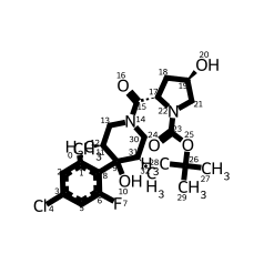 Cc1cc(Cl)cc(F)c1C1(O)[C@H](C)CN(C(=O)[C@@H]2C[C@@H](O)CN2C(=O)OC(C)(C)C)C[C@@H]1C